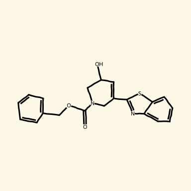 O=C(OCc1ccccc1)N1CC(c2nc3ccccc3s2)=CC(O)C1